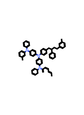 C=C(/C=C\C=C\C)N(c1ccc(N(c2ccc(CC(CCc3cccc(C)c3)c3ccccc3)cc2)c2ccc(N(c3ccccc3)c3cccc(C)c3)cc2)cc1)C1C=CC=CC1